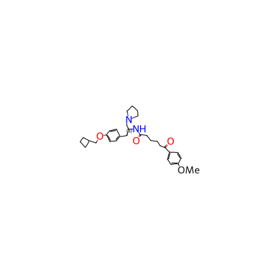 COc1ccc(C(=O)CCCCC(=O)N[C@@H](Cc2ccc(OCC3CCC3)cc2)CN2CCCC2)cc1